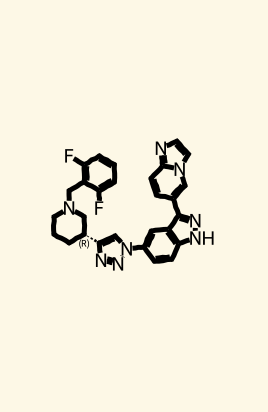 Fc1cccc(F)c1CN1CCC[C@@H](c2cn(-c3ccc4[nH]nc(-c5ccc6nccn6c5)c4c3)nn2)C1